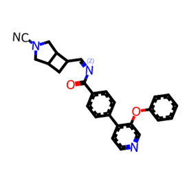 N#CN1CC2CC(/C=N\C(=O)c3ccc(-c4ccncc4Oc4ccccc4)cc3)C2C1